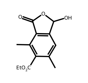 CCOC(=O)c1c(C)cc2c(c1C)C(=O)OC2O